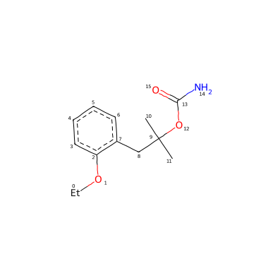 CCOc1ccccc1CC(C)(C)OC(N)=O